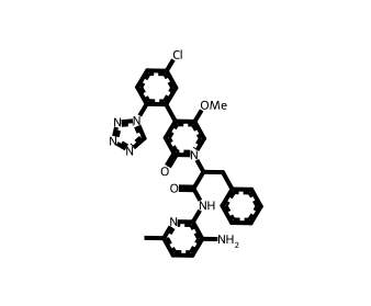 COc1cn(C(Cc2ccccc2)C(=O)Nc2nc(C)ccc2N)c(=O)cc1-c1cc(Cl)ccc1-n1cnnn1